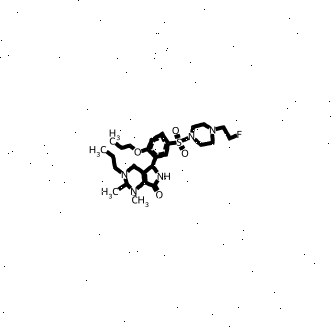 CCCOc1ccc(S(=O)(=O)N2CCN(CCF)CC2)cc1C1NC(=O)C2=C1CN(CCC)C(C)N2C